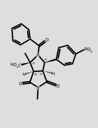 CN1C(=O)[C@H]2[C@@H](C1=O)[C@@](C)(C(=O)O)N(C(=O)c1ccccc1)[C@H]2c1ccc([N+](=O)[O-])cc1